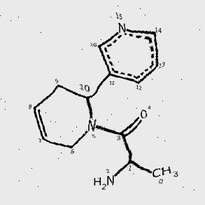 CC(N)C(=O)N1CC=CCC1c1cccnc1